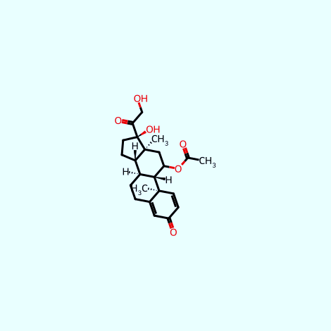 CC(=O)OC1C[C@@]2(C)[C@@H](CC[C@]2(O)C(=O)CO)[C@@H]2CCC3=CC(=O)C=C[C@]3(C)[C@@H]12